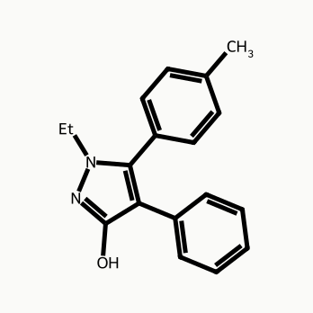 CCn1nc(O)c(-c2ccccc2)c1-c1ccc(C)cc1